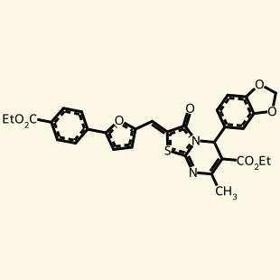 CCOC(=O)C1=C(C)N=c2s/c(=C\c3ccc(-c4ccc(C(=O)OCC)cc4)o3)c(=O)n2C1c1ccc2c(c1)OCO2